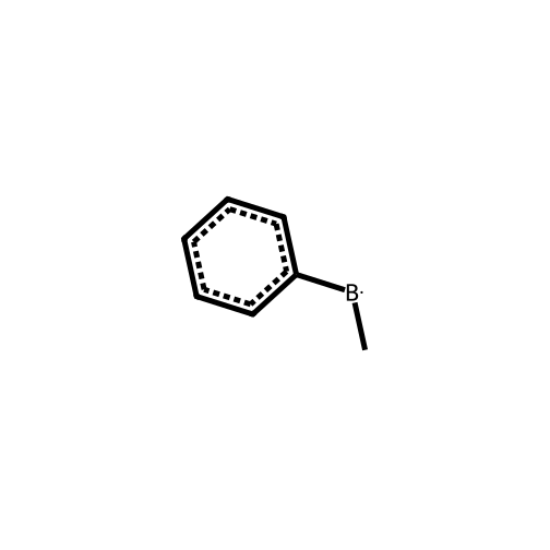 C[B]c1ccccc1